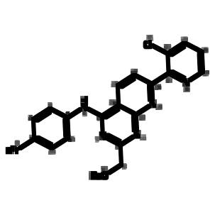 CCCc1ccc(Nc2nc(COCC(C)C)nc3nc(-c4ncccc4Cl)ccc23)cc1